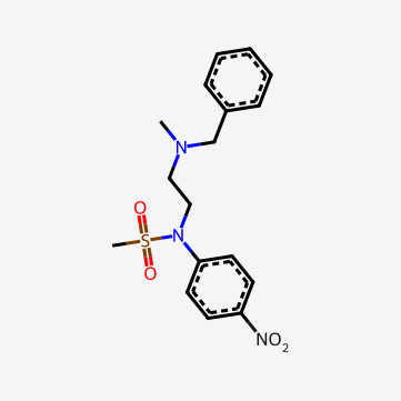 CN(CCN(c1ccc([N+](=O)[O-])cc1)S(C)(=O)=O)Cc1ccccc1